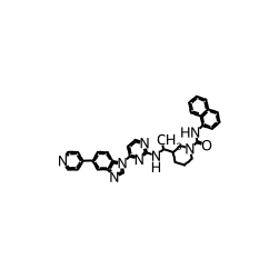 CC(Nc1nccc(-n2cnc3cc(-c4ccncc4)ccc32)n1)C1CCCN(C(=O)Nc2cccc3ccccc23)C1